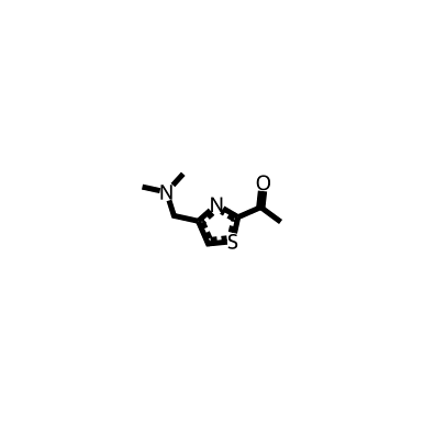 CC(=O)c1nc(CN(C)C)cs1